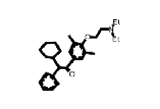 CCN(CC)CCOc1c(C)cc(C(=O)C(c2ccccc2)C2CCCCC2)cc1C